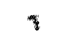 Cc1nc2c(OCc3c(F)cccc3F)cccn2c1C(=O)NC1CNCc2ccc(C(F)(F)F)cc21